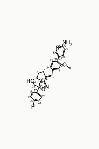 COc1cc(/C=C2\CCCN3C2=NOC3(CO)c2ccc(F)cc2)ccc1-c1ccc(N)nc1